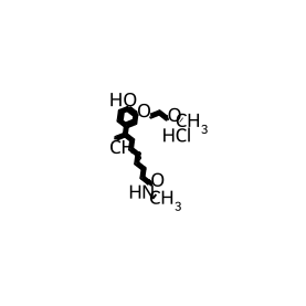 CCC(CCCCCCC(=O)NC)c1ccc(O)c(OCCCOC)c1.Cl